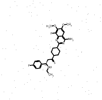 CCN[C@H](CC(=S)C1CCC(c2nc(N)c3cc(OC)c(OC)c(F)c3n2)CC1)c1ccc(F)cc1